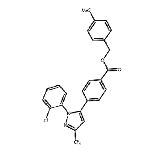 CSc1ccc(COC(=O)c2ccc(-c3cc(C(F)(F)F)nn3-c3ccccc3Cl)cc2)cc1